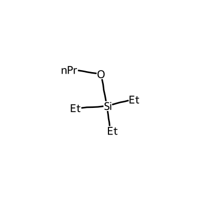 CCCO[Si](CC)(CC)CC